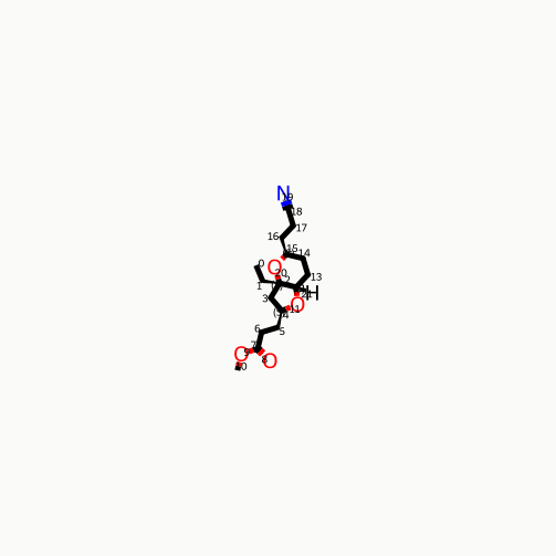 CC[C@]12C[C@H](CCC(=O)OC)O[C@H]1CC[C@H](CCC#N)O2